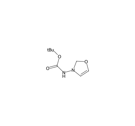 CC(C)(C)OC(=O)NN1C=COC1